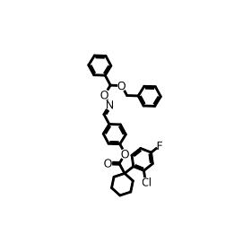 O=C(Oc1ccc(C=NOC(OCc2ccccc2)c2ccccc2)cc1)C1(c2ccc(F)cc2Cl)CCCCC1